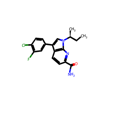 CC[C@H](C)n1cc(-c2ccc(Cl)c(F)c2)c2ccc(C(N)=O)nc21